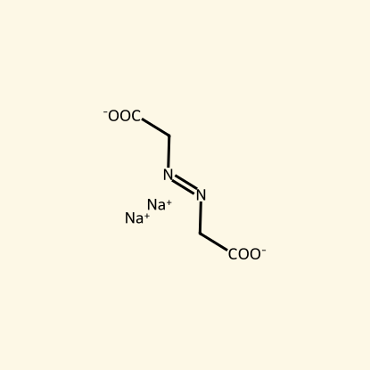 O=C([O-])CN=NCC(=O)[O-].[Na+].[Na+]